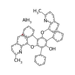 Cc1ccc2cccc(Oc3c(-c4ccccc4)c(O)c(-c4ccccc4)c(Oc4cccc5ccc(C)nc45)c3-c3ccccc3)c2n1.[AlH3]